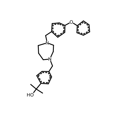 CC(C)(O)c1ccc(CN2CCCN(Cc3ccc(Oc4ccccc4)cc3)CC2)cc1